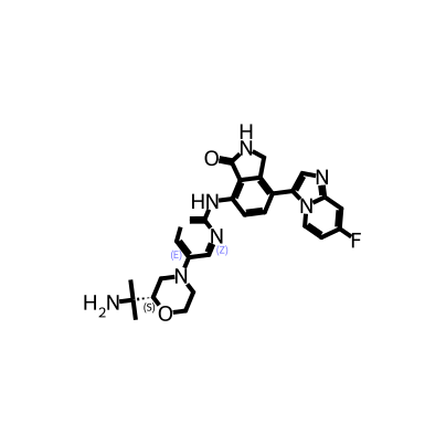 C=C(/N=C\C(=C/C)N1CCO[C@H](C(C)(C)N)C1)Nc1ccc(-c2cnc3cc(F)ccn23)c2c1C(=O)NC2